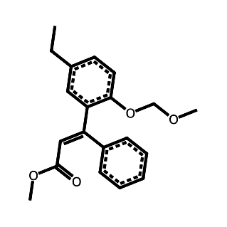 CCc1ccc(OCOC)c(C(=CC(=O)OC)c2ccccc2)c1